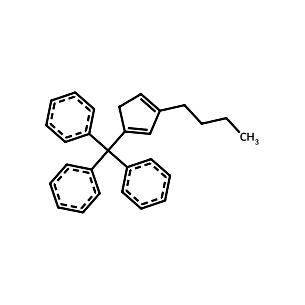 CCCCC1=CCC(C(c2ccccc2)(c2ccccc2)c2ccccc2)=C1